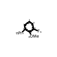 CC[CH]c1cccc(F)c1OC